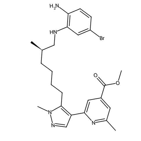 COC(=O)c1cc(C)nc(-c2cnn(C)c2CCCC[C@@H](C)CNc2cc(Br)ccc2N)c1